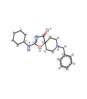 O=C1N=C(NC2CCCCC2)OC12CCN(Cc1ccccc1)CC2